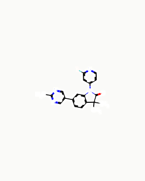 Cc1ncc(-c2ccc3c(c2)N(c2ccnc(F)c2)C(=O)C3(C)C)cn1